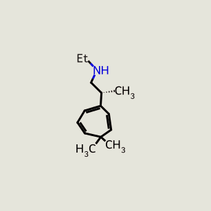 CCNC[C@H](C)C1=CC=CC(C)(C)C=C1